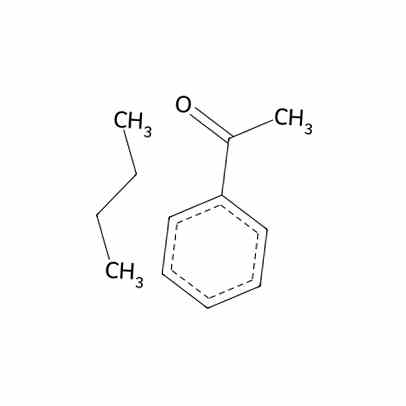 CC(=O)c1ccccc1.CCCC